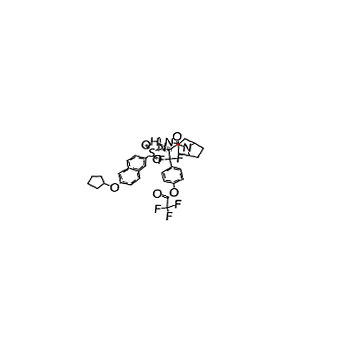 CN([C@H](C(=O)N1C2CCC1CC(N)C2)C(F)(F)c1ccc(OC(=O)C(F)(F)F)cc1)S(=O)(=O)c1ccc2cc(OC3CCCC3)ccc2c1